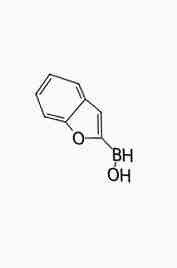 OBc1cc2ccccc2o1